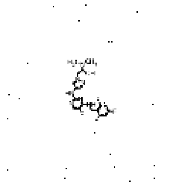 CN(C)C(O)Cn1cc(Nc2ncc(F)c(NCc3c(F)cc(F)cc3F)n2)cn1